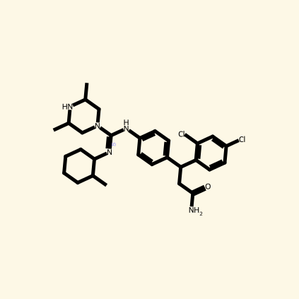 CC1CN(/C(=N\C2CCCCC2C)Nc2ccc(C(CC(N)=O)c3ccc(Cl)cc3Cl)cc2)CC(C)N1